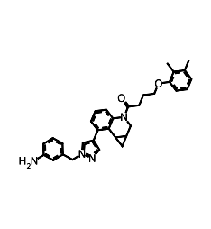 Cc1cccc(OCCCC(=O)N2CC3CC3c3c(-c4cnn(Cc5cccc(N)c5)c4)cccc32)c1C